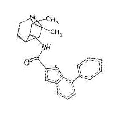 CC1(C)C(NC(=O)c2cc3cccc(-c4ccccc4)c3s2)C2CCN1CC2